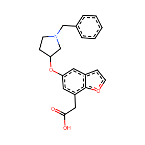 O=C(O)Cc1cc(OC2CCN(Cc3ccccc3)C2)cc2ccoc12